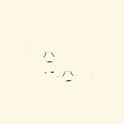 O=C=C(Cc1ccc(C(=O)O)cc1)Cc1ccc(C(=O)O)cc1